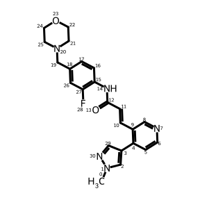 Cn1cc(-c2ccncc2C=CC(=O)Nc2ccc(CN3CCOCC3)cc2F)cn1